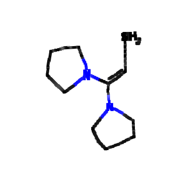 [SiH3]C=C(N1CCCC1)N1CCCC1